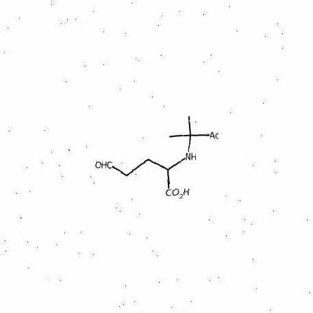 CC(=O)C(C)(C)NC(CCC=O)C(=O)O